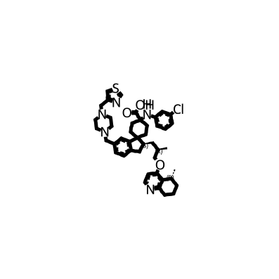 C[C@@H](COc1ccnc2c1[C@H](C)CCC2)C[C@H]1Cc2ccc(CN3CCN(Cc4cscn4)CC3)cc2C12CCC(Nc1cccc(Cl)c1)(C(=O)O)CC2